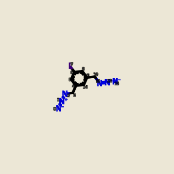 [N-]=[N+]=NCc1cc(I)cc(CN=[N+]=[N-])c1